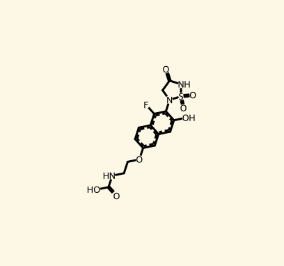 O=C(O)NCCOc1ccc2c(F)c(N3CC(=O)NS3(=O)=O)c(O)cc2c1